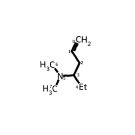 C=CCC(CC)N(C)C